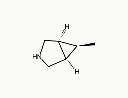 C[C@H]1[C@H]2CNC[C@@H]12